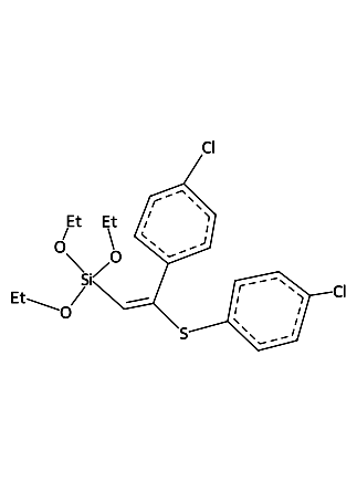 CCO[Si](C=C(Sc1ccc(Cl)cc1)c1ccc(Cl)cc1)(OCC)OCC